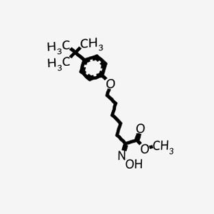 COC(=O)/C(CCCCCOc1ccc(C(C)(C)C)cc1)=N\O